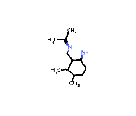 CC(C)=NCC1C(=N)CCC(C)C1C